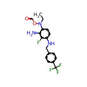 CCN(OC=O)c1ccc(NCc2ccc(C(F)(F)F)cc2)c(F)c1N